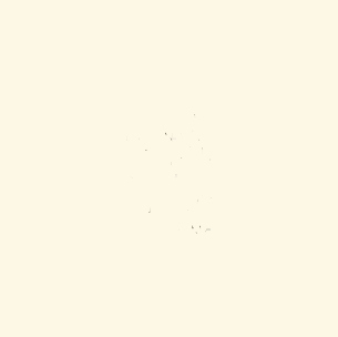 COC(=O)c1cccc(C2SC(C)=CN2S(=O)(=O)Cl)c1